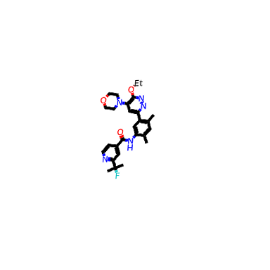 CCOc1nnc(-c2cc(NC(=O)c3ccnc(C(C)(C)F)c3)c(C)cc2C)cc1N1CCOCC1